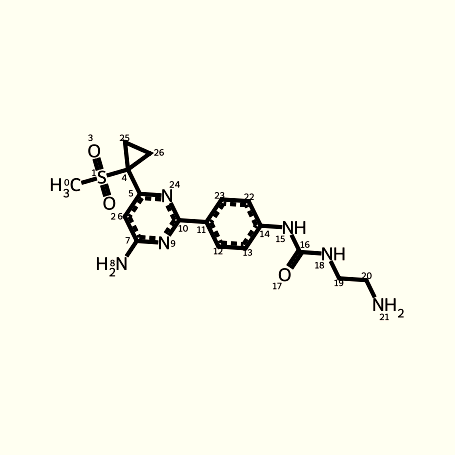 CS(=O)(=O)C1(c2cc(N)nc(-c3ccc(NC(=O)NCCN)cc3)n2)CC1